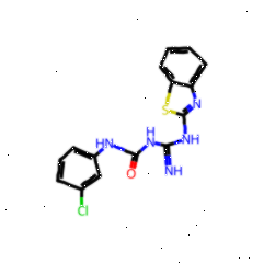 N=C(NC(=O)Nc1cccc(Cl)c1)Nc1nc2ccccc2s1